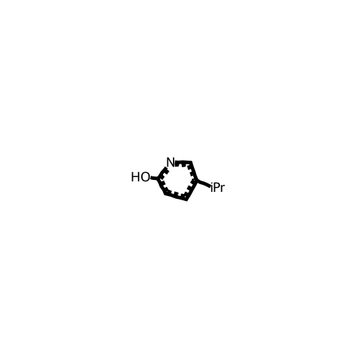 CC(C)c1ccc(O)nc1